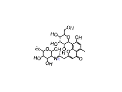 CCC1OC(O)C(/N=C(\C)Cc2cc(=O)c3c(C)cc(O)c(C4OC(CO)C(O)C(O)C4O)c3o2)C(O)C1O